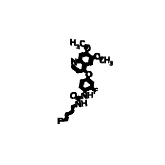 COc1cc2nccc(Oc3ccc(NC(=O)NCCCCF)c(F)c3)c2cc1OC